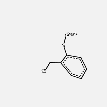 CCCCCSc1ccccc1CCl